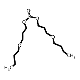 CCCCOCCCOB([O])OCCCOCCCC